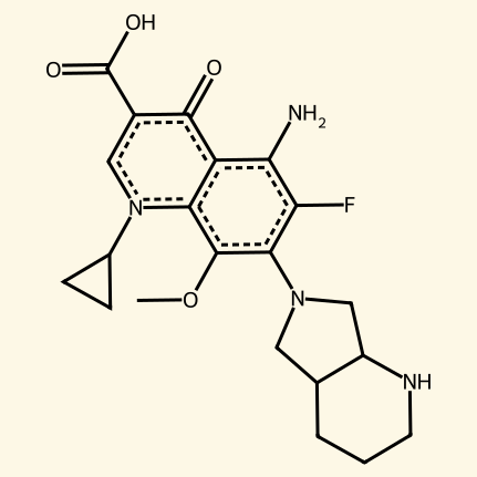 COc1c(N2CC3CCCNC3C2)c(F)c(N)c2c(=O)c(C(=O)O)cn(C3CC3)c12